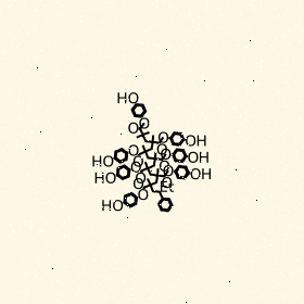 CCC(CC(C)(CC(C)(CC(C)(CC(C)(CC(C)(CC(C)(CC(C)(C)C(=O)Oc1ccc(O)cc1)C(=O)Oc1ccc(O)cc1)C(=O)Oc1ccc(O)cc1)C(=O)Oc1ccc(O)cc1)C(=O)Oc1ccc(O)cc1)C(=O)Oc1ccc(O)cc1)C(=O)Oc1ccc(O)cc1)c1ccccc1